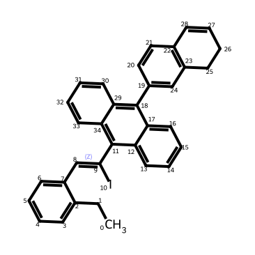 CCc1ccccc1/C=C(\I)c1c2ccccc2c(-c2ccc3c(c2)CCC=C3)c2ccccc12